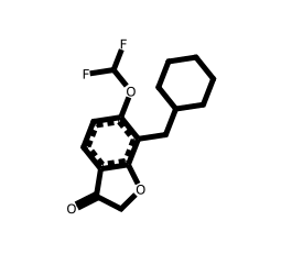 O=C1COc2c1ccc(OC(F)F)c2CC1CCCCC1